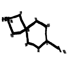 IC1CCC2(CC1)CNC2